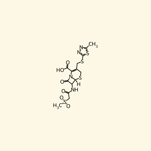 Cc1nnc(SCC2=C(C(=O)O)N3C(=O)C(NC(=O)CS(C)(=O)=O)[C@H]3SC2)s1